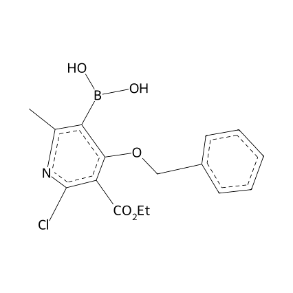 CCOC(=O)c1c(Cl)nc(C)c(B(O)O)c1OCc1ccccc1